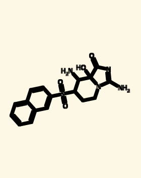 NC1=NC(=O)C2(O)C(N)C(S(=O)(=O)c3ccc4ccccc4c3)CCN12